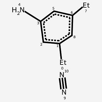 CCc1cc(N)cc(CC)c1.N#N